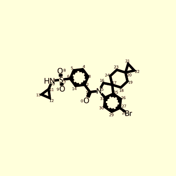 O=C(c1cccc(S(=O)(=O)NC2CC2)c1)N1CC2(CCC3(CC3)CC2)c2cc(Br)ccc21